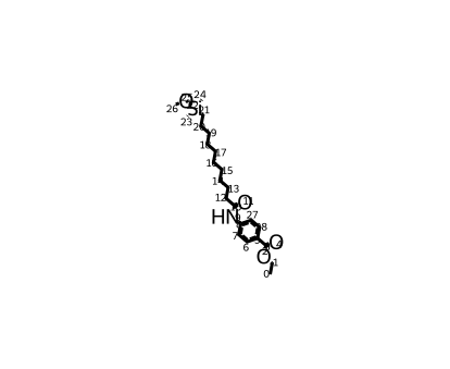 CCOC(=O)c1ccc(NC(=O)CCCCCCCCCC[Si](C)(C)OC)cc1